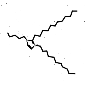 CCCCCCCCCCCCc1n(CCCCC)cc[n+]1CCCCCCCCCCC